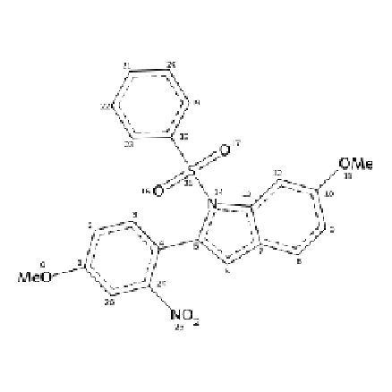 COc1ccc(-c2cc3ccc(OC)cc3n2S(=O)(=O)c2ccccc2)c([N+](=O)[O-])c1